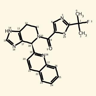 CC(C)(F)c1ncc(C(=O)N2CCc3[nH]cnc3[C@@H]2c2ccc3ccccc3n2)s1